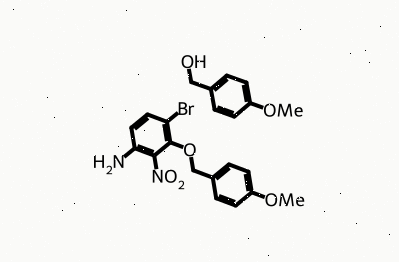 COc1ccc(CO)cc1.COc1ccc(COc2c(Br)ccc(N)c2[N+](=O)[O-])cc1